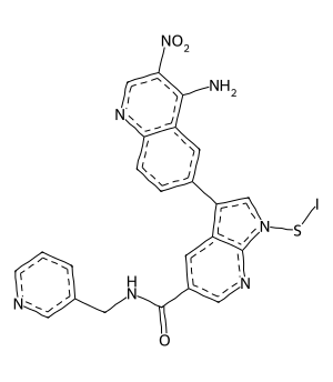 Nc1c([N+](=O)[O-])cnc2ccc(-c3cn(SI)c4ncc(C(=O)NCc5cccnc5)cc34)cc12